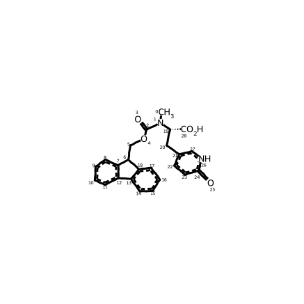 CN(C(=O)OCC1c2ccccc2-c2ccccc21)[C@@H](Cc1ccc(=O)[nH]c1)C(=O)O